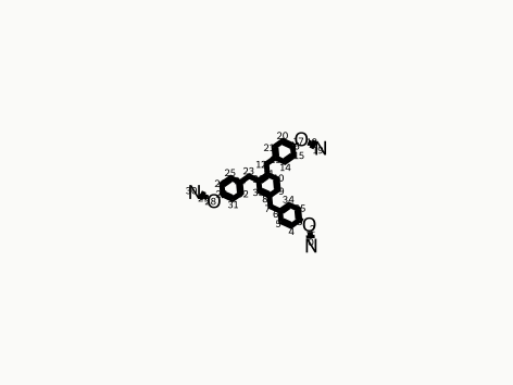 N#COc1ccc(Cc2ccc(Cc3ccc(OC#N)cc3)c(Cc3ccc(OC#N)cc3)c2)cc1